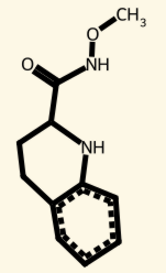 CONC(=O)C1CCc2ccccc2N1